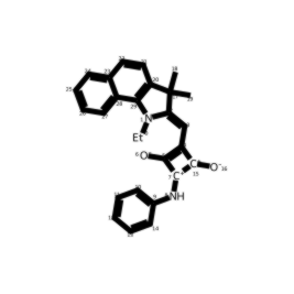 CCN1C(=Cc2c([O-])[c+](Nc3ccccc3)[c+]2[O-])C(C)(C)c2ccc3ccccc3c21